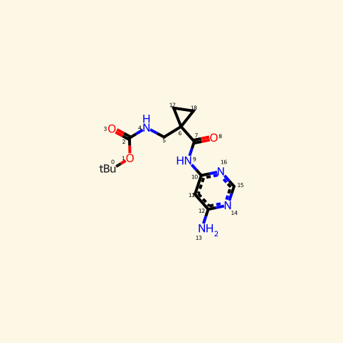 CC(C)(C)OC(=O)NCC1(C(=O)Nc2cc(N)ncn2)CC1